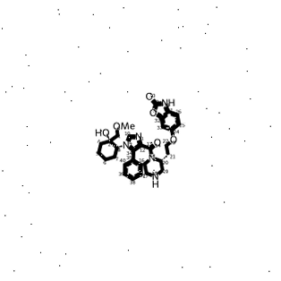 COC[C@]1(O)CCCC[C@H]1n1cnc(C(=O)N2CCNC[C@H]2CCOc2ccc3[nH]c(=O)oc3c2)c1-c1ccccc1